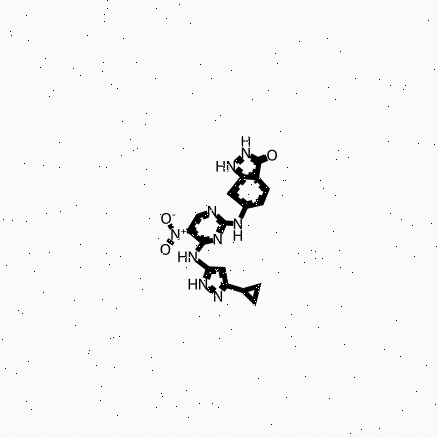 O=c1[nH][nH]c2cc(Nc3ncc([N+](=O)[O-])c(Nc4cc(C5CC5)n[nH]4)n3)ccc12